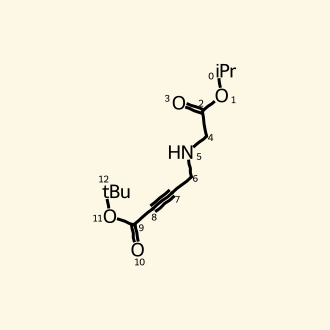 CC(C)OC(=O)CNCC#CC(=O)OC(C)(C)C